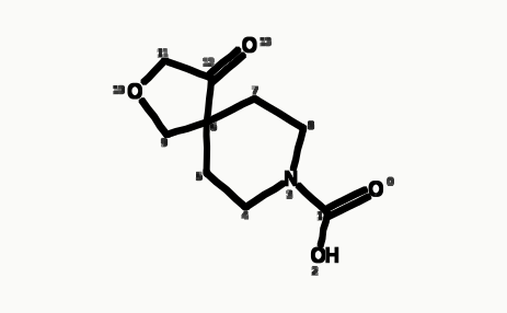 O=C(O)N1CCC2(CC1)COCC2=O